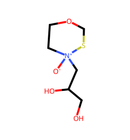 [O-][N+]1(CC(O)CO)CCOCS1